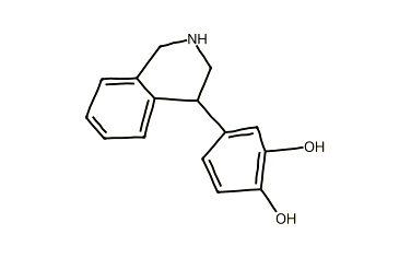 Oc1ccc(C2CNCc3ccccc32)cc1O